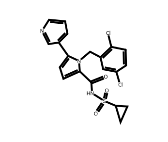 O=C(NS(=O)(=O)C1CC1)c1ccc(-c2cccnc2)n1Cc1cc(Cl)ccc1Cl